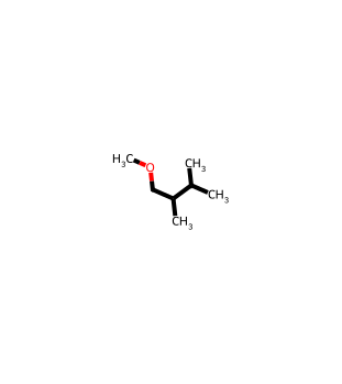 COCC(C)[C](C)C